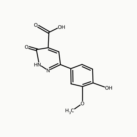 COc1cc(-c2cc(C(=O)O)c(=O)[nH]n2)ccc1O